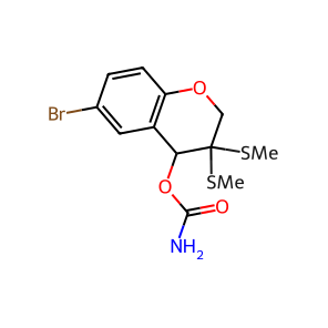 CSC1(SC)COc2ccc(Br)cc2C1OC(N)=O